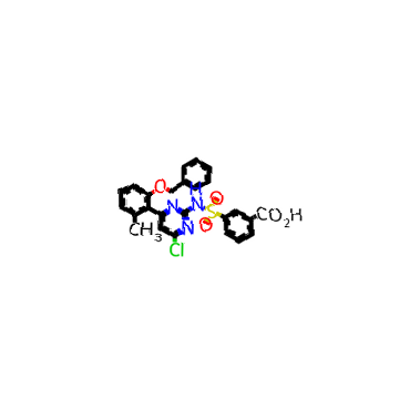 Cc1cccc(OCc2ccccc2)c1-c1cc(Cl)nc(NS(=O)(=O)c2cccc(C(=O)O)c2)n1